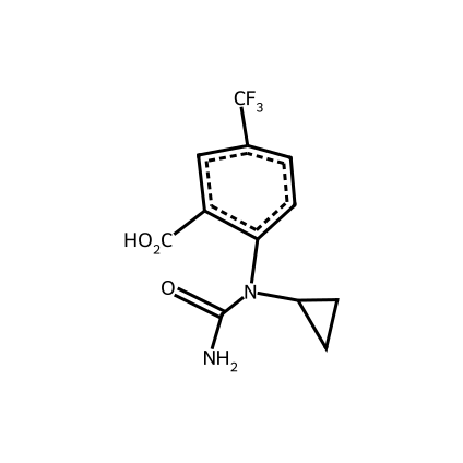 NC(=O)N(c1ccc(C(F)(F)F)cc1C(=O)O)C1CC1